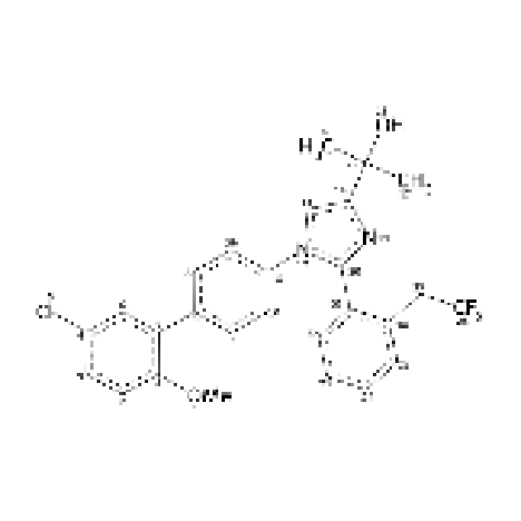 COc1ccc(Cl)cc1-c1ccc(-n2cc(C(C)(C)O)nc2-c2ccccc2CC(F)(F)F)cc1